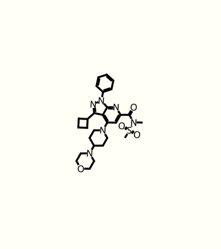 CN(C(=O)c1cc(N2CCC(N3CCOCC3)CC2)c2c(C3CCC3)nn(-c3ccccc3)c2n1)S(C)(=O)=O